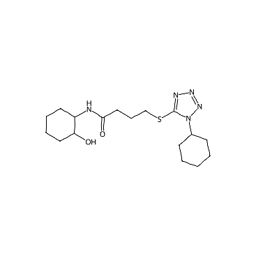 O=C(CCCSc1nnnn1C1CCCCC1)NC1CCCCC1O